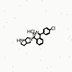 Cl.Clc1ccc(-c2nnc(N3CC4CCNC4C3)c3ccccc23)cc1